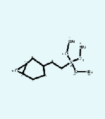 CC(C)(C)O[Si](CCC1CCC2OC2C1)(OC(C)(C)C)OC(C)(C)C